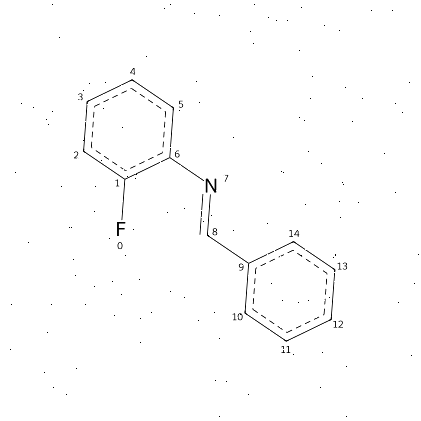 Fc1ccccc1/N=C/c1ccccc1